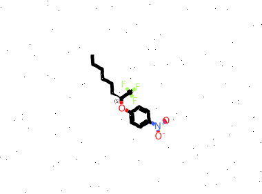 CCCCCC[C@H](Oc1ccc([N+](=O)[O-])cc1)C(F)(F)F